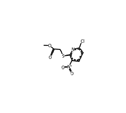 COC(=O)CSc1nc(Cl)ccc1[N+](=O)[O-]